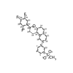 CS(=O)(=O)c1cccc(-c2ccc3ccc4c(c3c2)CC[C@@H](c2cc(F)c(F)cc2F)O4)c1